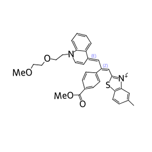 COCCOCCN1C=C/C(=C\C(=C\c2sc3ccc(C)cc3[n+]2C)c2ccc(C(=O)OC)cc2)c2ccccc21